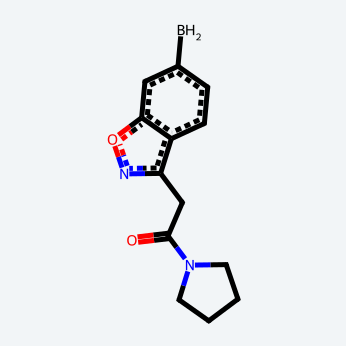 Bc1ccc2c(CC(=O)N3CCCC3)noc2c1